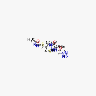 COC1(NC(=O)Cn2cnnn2)C(=O)N2C(C(=O)O)=C(CSc3nnc(C)o3)CS[C@@H]21